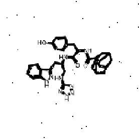 O=C(NC(CNc1nn[nH]n1)Cc1n[nH]c2ccccc12)C(Cc1ccc(O)cc1)NC(=O)C12CC3CC(CC(C3)C1)C2